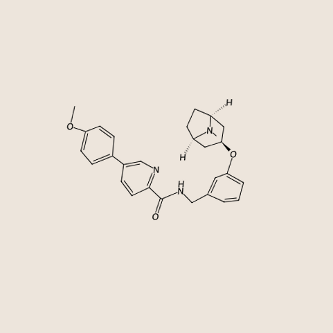 COc1ccc(-c2ccc(C(=O)NCc3cccc(O[C@H]4C[C@H]5CC[C@@H](C4)N5C)c3)nc2)cc1